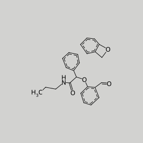 CCCNC(=O)C(Oc1ccccc1C=O)c1ccccc1.c1ccc2c(c1)CO2